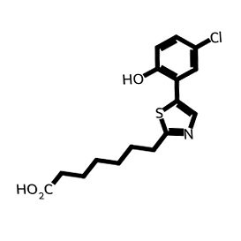 O=C(O)CCCCCCc1ncc(-c2cc(Cl)ccc2O)s1